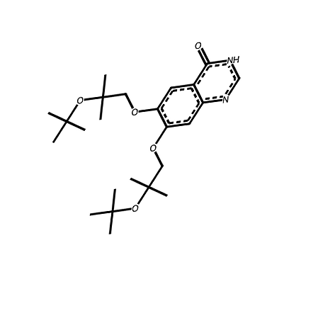 CC(C)(C)OC(C)(C)COc1cc2nc[nH]c(=O)c2cc1OCC(C)(C)OC(C)(C)C